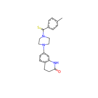 Cc1ccc(C(=S)N2CCN(c3ccc4c(c3)NC(=O)CC4)CC2)cc1